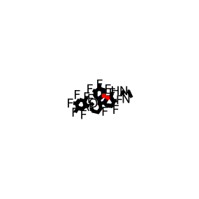 C1=NCCN1.Fc1c(F)c(F)[c]([Al]2[CH2]CCC(c3c(F)c(F)c(F)c(F)c3F)(c3c(F)c(F)c(F)c(F)c3F)[O]2)c(F)c1F